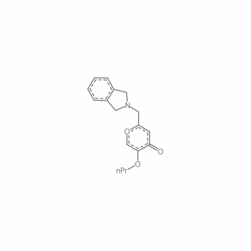 CCCOc1coc(CN2Cc3ccccc3C2)cc1=O